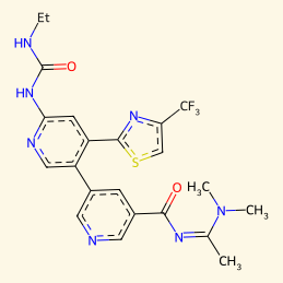 CCNC(=O)Nc1cc(-c2nc(C(F)(F)F)cs2)c(-c2cncc(C(=O)N=C(C)N(C)C)c2)cn1